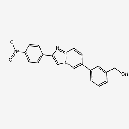 O=[N+]([O-])c1ccc(-c2cn3cc(-c4cccc(CO)c4)ccc3n2)cc1